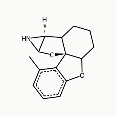 Cc1cccc2c1[C@]13CC4N[C@H]4C1CCCC3O2